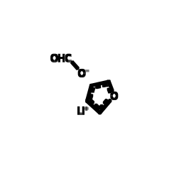 O=C[O-].[Li+].c1ccoc1